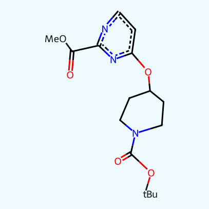 COC(=O)c1nccc(OC2CCN(C(=O)OC(C)(C)C)CC2)n1